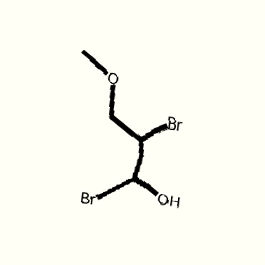 COCC(Br)C(O)Br